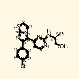 CC(C)[C@@H](CO)Nc1nccc(-c2c(-c3ccc(Br)cc3)nc3sccn23)n1